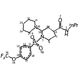 CCCNC(=O)C1CCN(S(=O)(=O)c2ccc(OC(F)(F)F)cc2)C(N2CCCCC2)C1